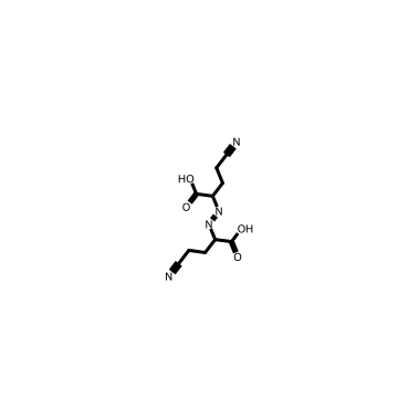 N#CCCC(N=NC(CCC#N)C(=O)O)C(=O)O